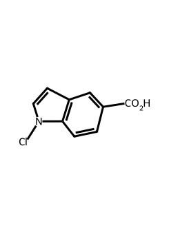 O=C(O)c1ccc2c(ccn2Cl)c1